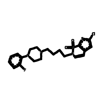 O=S1(=O)c2sc(Cl)cc2C=CN1CCCCN1CCN(c2ccccc2F)CC1